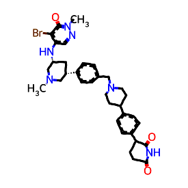 CN1C[C@H](Nc2cnn(C)c(=O)c2Br)C[C@H](c2ccc(CN3CCC(c4ccc(C5CCC(=O)NC5=O)cc4)CC3)cc2)C1